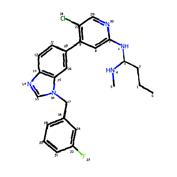 CCCC(NC)Nc1cc(-c2ccc3ncn(Cc4cccc(F)c4)c3c2)c(Cl)cn1